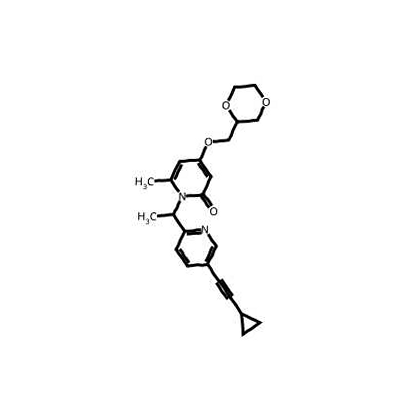 Cc1cc(OCC2COCCO2)cc(=O)n1C(C)c1ccc(C#CC2CC2)cn1